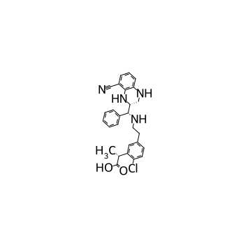 C[C@@H](C(=O)O)c1cc(CCN[C@H](c2ccccc2)[C@H]2CNc3cccc(C#N)c3N2)ccc1Cl